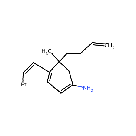 C=CCCC1(C)CC(N)=CC=C1/C=C\CC